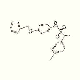 Cc1ccc(C(C)S(=O)(=O)Nc2ccc(OCc3ccccc3)cc2)cc1